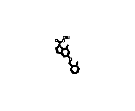 Cc1cc(OCC2C=CC=CC2C)cc2ccn(C(=O)OC(C)(C)C)c12